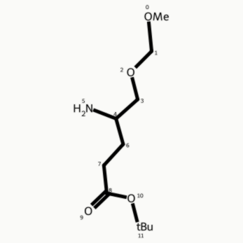 COCOCC(N)CCC(=O)OC(C)(C)C